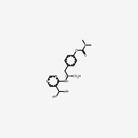 CCCC(CCC)c1cncnc1N[C@@H](Cc1ccc(OC(=O)N(C)C)cc1)C(=O)O